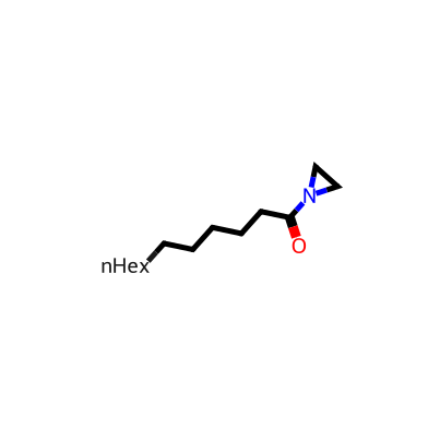 CCCCCCCCCCCC(=O)N1CC1